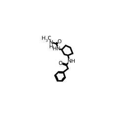 CNC(=O)NC1CCCC(NC(=O)Cc2ccccc2)C1